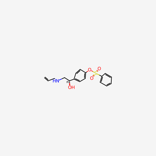 C=CCNC[C@H](O)c1ccc(OS(=O)(=O)c2ccccc2)cc1